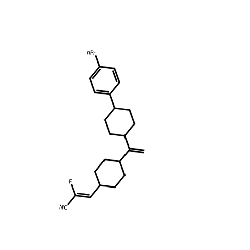 C=C(C1CCC(C=C(F)C#N)CC1)C1CCC(c2ccc(CCC)cc2)CC1